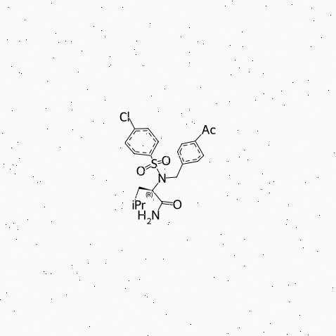 CC(=O)c1ccc(CN([C@H](CC(C)C)C(N)=O)S(=O)(=O)c2ccc(Cl)cc2)cc1